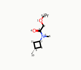 CC(C)OCC(=O)N(C)[C@H]1C[C@H](C)C1